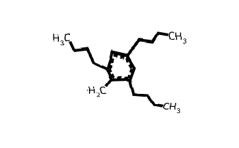 [CH2]c1c(CCCC)cc(CCCC)cc1CCCC